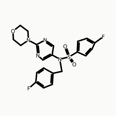 O=S(=O)(c1ccc(F)cc1)N(Cc1ccc(F)cc1)c1cnc(N2CCOCC2)nc1